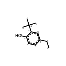 [CH2]Cc1ccc(O)c(C(C)(C)C)c1